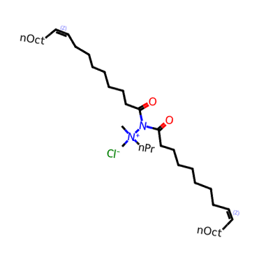 CCCCCCCC/C=C\CCCCCCCC(=O)N(C(=O)CCCCCCC/C=C\CCCCCCCC)[N+](C)(C)CCC.[Cl-]